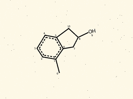 Cc1cccc2c1CC(O)C2